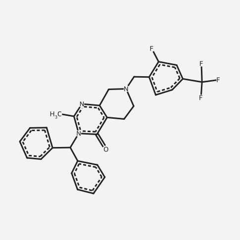 Cc1nc2c(c(=O)n1C(c1ccccc1)c1ccccc1)CCN(Cc1ccc(C(F)(F)F)cc1F)C2